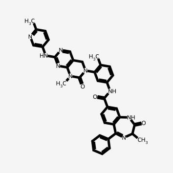 Cc1ccc(Nc2ncc3c(n2)N(C)C(=O)N(c2cc(NC(=O)c4ccc5c(c4)NC(=O)C(C)N=C5c4ccccc4)ccc2C)C3)cn1